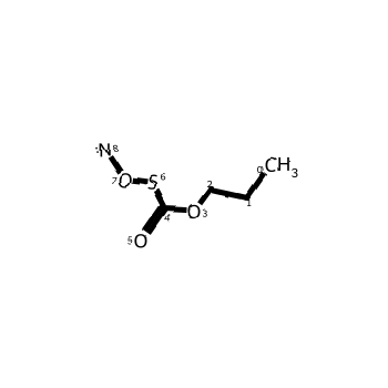 CCCOC(=O)SO[N]